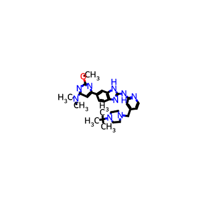 COc1nc(-c2ccc3nc(Nc4cc(CN5CCN(C(C)(C)C)CC5)ccn4)[nH]c3c2)cc(N(C)C)n1